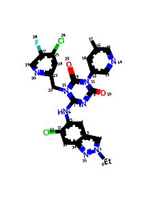 CCn1cc2cc(Nc3nc(=O)n(-c4cncc(C)c4)c(=O)n3Cc3cc(Cl)c(F)cn3)c(Cl)cc2n1